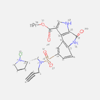 C#CCN(C[C@@H]1CCCN1Cl)S(=O)(=O)c1ccc2[nH]c(=O)c3[nH]cc(C(=O)OCCC)c3c2c1